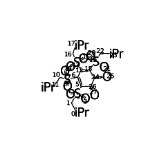 CC(C)CS(=O)(=O)C1=C(S(=O)(=O)CC(C)C)C(S(=O)(=O)CC(C)C)=C(S(=O)(=O)CC(C)C)C(=O)C1=O